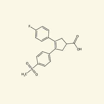 CS(=O)(=O)c1ccc(C2=C(c3ccc(F)cc3)CC(C(=O)O)C2)cc1